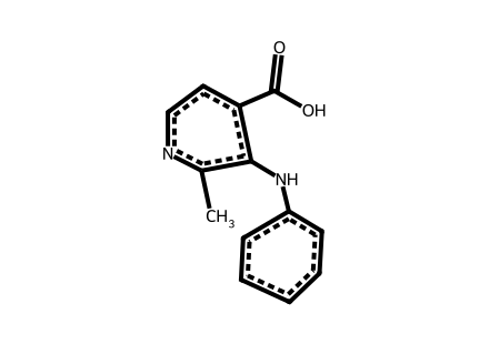 Cc1nccc(C(=O)O)c1Nc1ccccc1